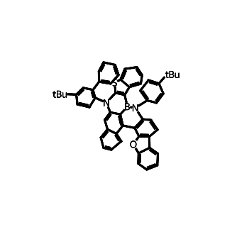 CC(C)(C)c1ccc(N2B3c4c(cc5ccccc5c4-c4c2ccc2c4oc4ccccc42)N(c2ccc(C(C)(C)C)cc2-c2ccccc2)c2sc4ccccc4c23)cc1